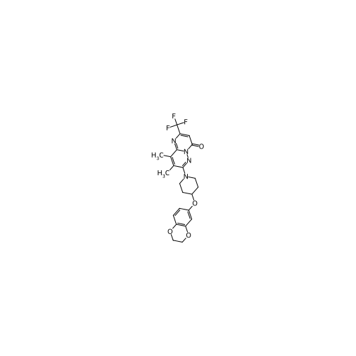 Cc1c(N2CCC(Oc3ccc4c(c3)OCCO4)CC2)nn2c(=O)cc(C(F)(F)F)nc2c1C